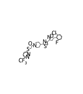 O=C(CSc1ccc(C(F)(F)F)nn1)N1CCC(c2nc(C3=NOC(c4c(F)cccc4Cl)C3)cs2)CC1